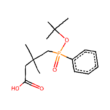 CC(C)(CC(=O)O)CP(=O)(OC(C)(C)C)c1ccccc1